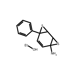 CCO.NC12C=CC3(c4ccccc4)SC3C1S2